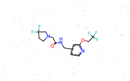 O=C(CN1CCC(F)(F)C1)NCc1ccnc(OCC(F)(F)F)c1